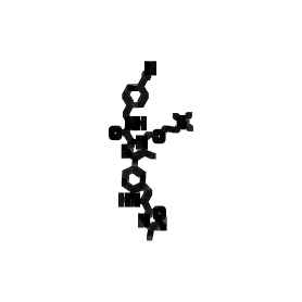 Cc1noc(-c2cc3cc(-c4nc(C(=O)NCc5ccc(C#N)cc5)n(COCC[Si](C)(C)C)c4C)ccc3[nH]2)n1